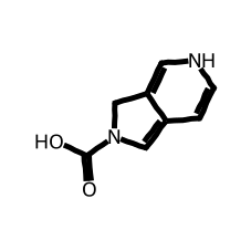 O=C(O)N1C=C2C=CNC=C2C1